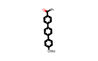 COc1ccc(-c2ccc(-c3ccc(C(=O)C(C)C)cc3)cc2)cc1